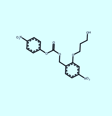 O=C(OCc1ccc([N+](=O)[O-])cc1OCCCO)Oc1ccc([N+](=O)[O-])cc1